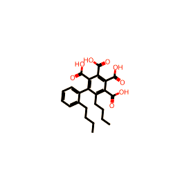 CCCCc1ccccc1-c1c(CCCC)c(C(=O)O)c(C(=O)O)c(C(=O)O)c1C(=O)O